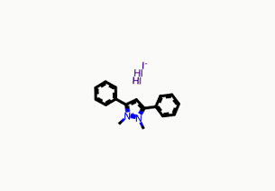 Cn1c(-c2ccccc2)cc(-c2ccccc2)[n+]1C.I.I.[I-]